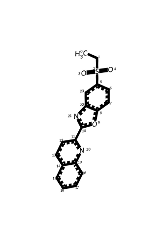 CCS(=O)(=O)c1ccc2oc(-c3ccc4ccccc4n3)nc2c1